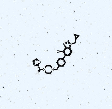 O=C(c1ncco1)N1CCN(Cc2ccc(-c3ccc4c(nnn4CC4CC4)c3Cl)cc2)CC1